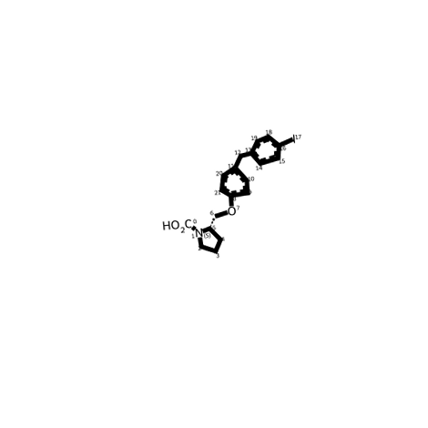 O=C(O)N1CCC[C@H]1COc1ccc(Cc2ccc(I)cc2)cc1